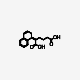 O=C(O)CCCC(C(=O)O)=C1CC=Cc2ccccc21